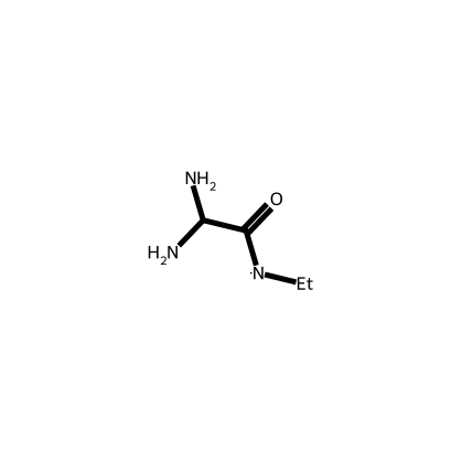 [CH2]C[N]C(=O)C(N)N